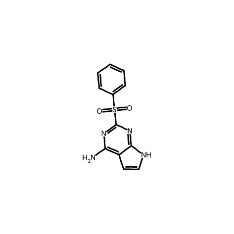 Nc1nc(S(=O)(=O)c2ccccc2)nc2[nH]ccc12